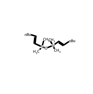 CCCC/C=C/[Si](C)(C)O[Si](C)(C)/C=C/CCCC